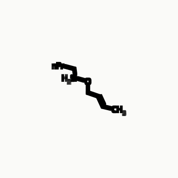 CC=CCO[SiH2]CCCC